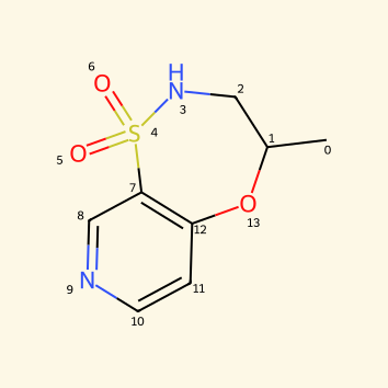 CC1CNS(=O)(=O)c2cnccc2O1